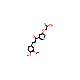 COc1ccc(C=CC(=O)c2cncc(OCC(=O)O)c2)cc1OC